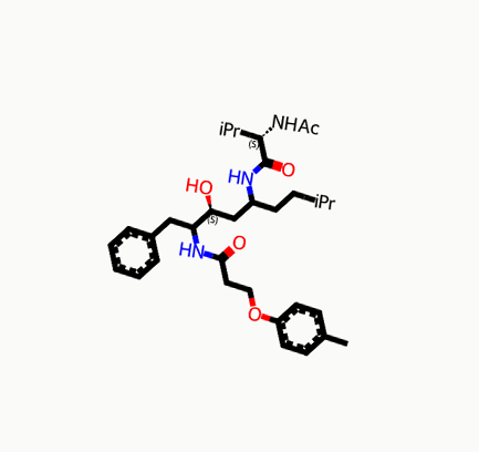 CC(=O)N[C@H](C(=O)NC(CCC(C)C)C[C@H](O)C(Cc1ccccc1)NC(=O)CCOc1ccc(C)cc1)C(C)C